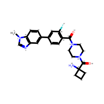 Cn1cnc2cc(-c3ccc(C(=O)N4CCN(C(=O)C5(N)CCC5)CC4)c(F)c3)ccc21